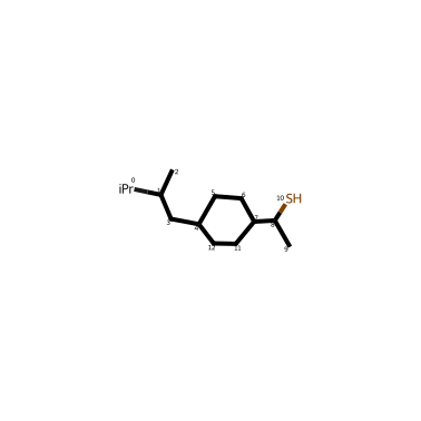 CC(C)C(C)CC1CCC(C(C)S)CC1